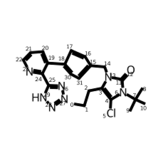 CCCc1c(Cl)n(C(C)(C)C)c(=O)n1Cc1ccc(-c2cccnc2-c2nnn[nH]2)cc1